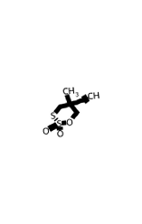 C#CC1(C)COS(=O)(=O)SC1